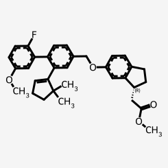 COC(=O)C[C@H]1CCc2ccc(OCc3ccc(-c4cc(OC)ccc4F)c(C4=CCCC4(C)C)c3)cc21